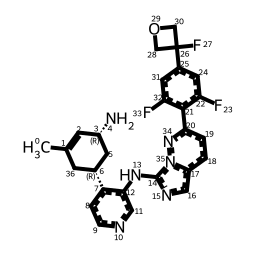 CC1=C[C@H](N)C[C@H](c2ccncc2Nc2ncc3ccc(-c4c(F)cc(C5(F)COC5)cc4F)nn23)C1